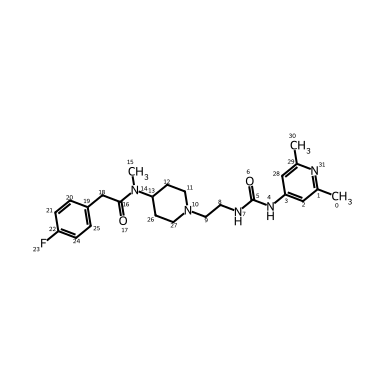 Cc1cc(NC(=O)NCCN2CCC(N(C)C(=O)Cc3ccc(F)cc3)CC2)cc(C)n1